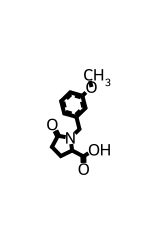 COc1cccc(CN2C(=O)CCC2C(=O)O)c1